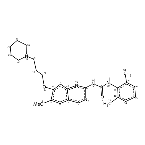 COc1cc2cnc(NC(=O)Nc3c(C)cccc3C)nc2cc1OCCCN1CCCCC1